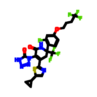 O=C1NC(c2ccc(OCCCC(F)(F)F)cc2F)(C(F)(F)F)CC(c2ncc(C3CC3)s2)=C1n1nn[nH]c1=O